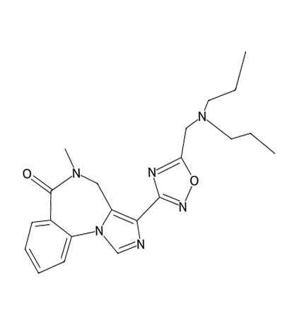 CCCN(CCC)Cc1nc(-c2ncn3c2CN(C)C(=O)c2ccccc2-3)no1